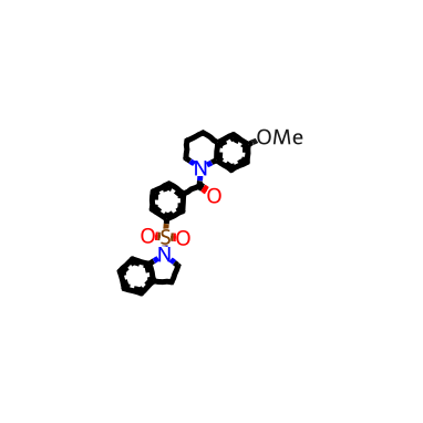 COc1ccc2c(c1)CCCN2C(=O)c1cccc(S(=O)(=O)N2CCc3ccccc32)c1